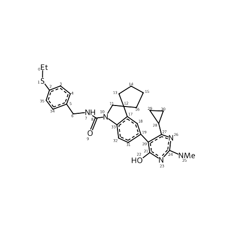 CCSc1ccc(CNC(=O)N2CC3(CCCC3)c3cc(-c4c(O)nc(NC)nc4C4CC4)ccc32)cc1